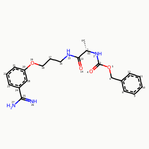 C[C@H](NC(=O)OCc1ccccc1)C(=O)NCCCOc1cccc(C(=N)N)c1